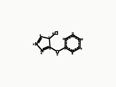 ClC1C=NN=C1Oc1ccccc1